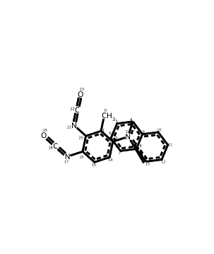 Cc1c(-n2c3cccc4c3cccc42)ccc(N=C=O)c1N=C=O